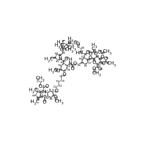 C=CCOC(=O)Nc1cc(OCCCCCOc2cc(NC(=O)OCc3ccc(O[C@@H]4O[C@H](C(=O)OC)[C@@H](OC(C)=O)[C@H](OC(C)=O)[C@H]4OC(C)=O)c(C(=O)NCCOC)c3)c(C(=O)N3CC(=C)C[C@H]3CO[Si](C)(C)C(C)(C)C)cc2OC)c(OC)cc1C(=O)N1CC(=C)C[C@H]1C